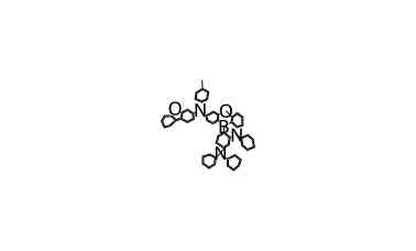 Cc1ccc(N(c2ccc3c(c2)Oc2cccc4c2B3c2ccc(N(c3ccccc3)c3ccccc3)cc2N4c2ccccc2)c2ccc3c(c2)oc2ccccc23)cc1